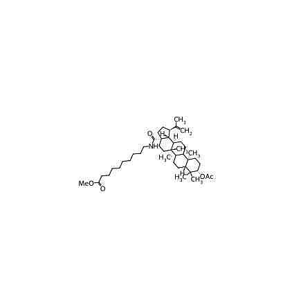 C=C(C)[C@@H]1CC[C@]2(C(=O)NCCCCCCCCCC(=O)OC)CC[C@]3(C)[C@H](CCC4[C@@]5(C)CC[C@H](OC(C)=O)C(C)(C)[C@@H]5CC[C@]43C)[C@@H]12